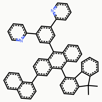 CC1(C)c2ccccc2-c2c(-c3c4ccccc4c(-c4cc(-c5ccccn5)cc(-c5ccccn5)c4)c4ccc(-c5cccc6ccccc56)cc34)cccc21